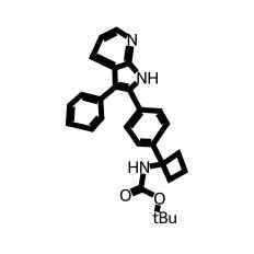 CC(C)(C)OC(=O)NC1(c2ccc(-c3[nH]c4ncccc4c3-c3ccccc3)cc2)CCC1